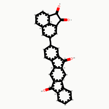 O=C1C(=O)c2cc(-c3ccc4c(c3)c(=O)c3cc5c(cc34)c(=O)c3ccccc35)cc3cccc1c23